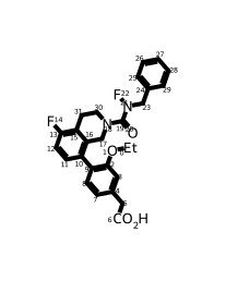 CCOc1cc(CC(=O)O)ccc1-c1ccc(F)c2c1CN(C(=O)N(F)Cc1ccccc1)CC2